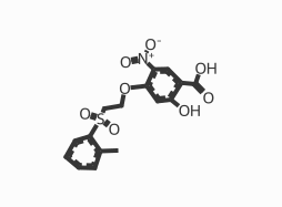 Cc1ccccc1S(=O)(=O)CCOc1cc(O)c(C(=O)O)cc1[N+](=O)[O-]